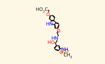 CS(=O)(=O)Nc1cccc([C@@H](O)CNCCOc2ccc3c(c2)[nH]c2cc(OCC(=O)O)ccc23)c1